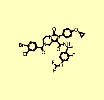 C[C@H](NC(=O)c1c2n(c(=O)n1-c1ccc(OC3CC3)cc1)CCN(C(=O)c1ccc(Br)c(Cl)c1)C2)c1ccc(OC(F)F)cc1F